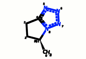 C[C@@H]1CCc2nnnn21